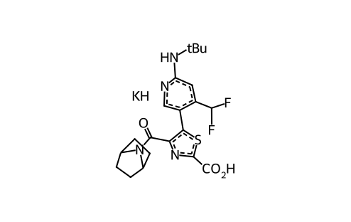 CC(C)(C)Nc1cc(C(F)F)c(-c2sc(C(=O)O)nc2C(=O)N2C3CCC2CC3)cn1.[KH]